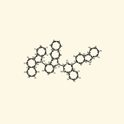 c1ccc2cc3c(cc2c1)c1c(-n2c4ccccc4c4ccc5ccccc5c42)cccc1n3-c1nc(-c2ccc3c(c2)oc2ccccc23)c2ccccc2n1